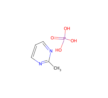 Cc1ncccn1.O=P(O)(O)O